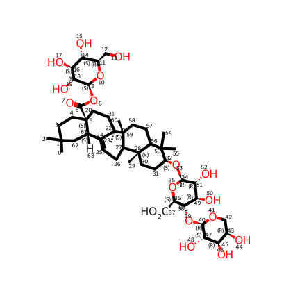 CC1(C)CC[C@]2(C(=O)O[C@@H]3O[C@H](CO)[C@@H](O)[C@H](O)[C@H]3O)CC[C@]3(C)C(=CCC4[C@@]5(C)CC[C@H](O[C@@H]6O[C@H](C(=O)O)[C@@H](O[C@H]7OC[C@@H](O)[C@@H](O)[C@@H]7O)[C@H](O)[C@H]6O)C(C)(C)C5CC[C@]43C)[C@@H]2C1